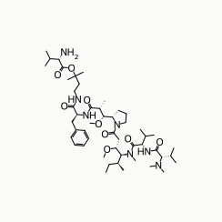 CC[C@H](C)[C@@H]([C@@H](CC(=O)N1CCC[C@H]1[C@H](OC)[C@@H](C)C(=O)N[C@@H](Cc1ccccc1)C(=O)NCCC(C)(C)OC(=O)[C@@H](N)C(C)C)OC)N(C)C(=O)[C@@H](NC(=O)[C@H](C(C)C)N(C)C)C(C)C